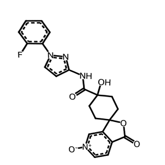 O=C1OC2(CCC(O)(C(=O)Nc3ccn(-c4ccccc4F)n3)CC2)c2c[n+]([O-])ccc21